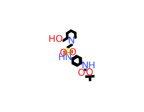 CC(C)(C)OC(=O)Nc1ccc(NS(=O)(=O)CCN2CCCCC2CO)cc1